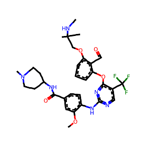 CNC(C)(C)COc1cccc(Oc2nc(Nc3ccc(C(=O)NC4CCN(C)CC4)cc3OC)ncc2C(F)(F)F)c1C=O